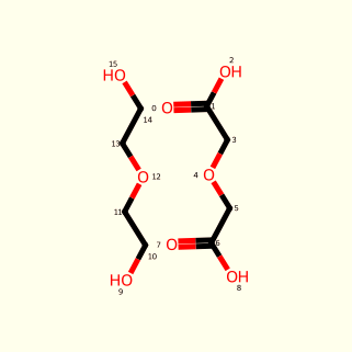 O=C(O)COCC(=O)O.OCCOCCO